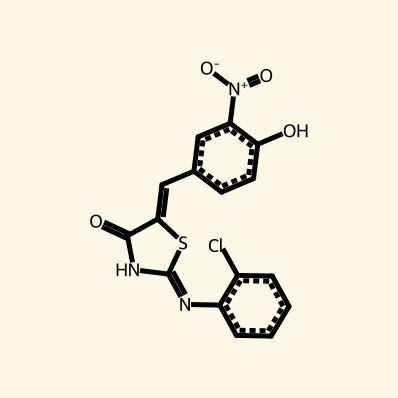 O=C1NC(=Nc2ccccc2Cl)SC1=Cc1ccc(O)c([N+](=O)[O-])c1